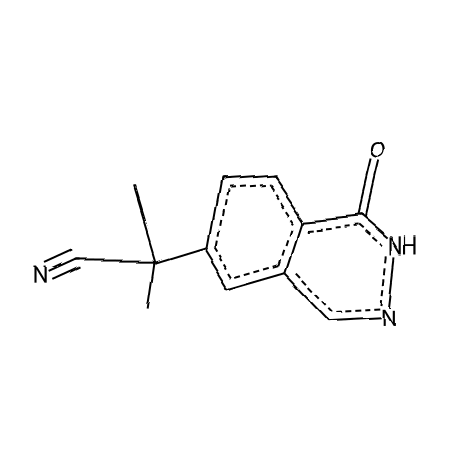 CC(C)(C#N)c1ccc2c(=O)[nH]ncc2c1